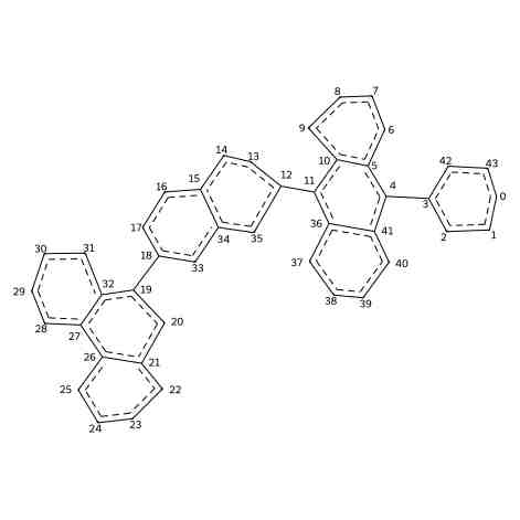 c1ccc(-c2c3ccccc3c(-c3ccc4ccc(-c5cc6ccccc6c6ccccc56)cc4c3)c3ccccc23)cc1